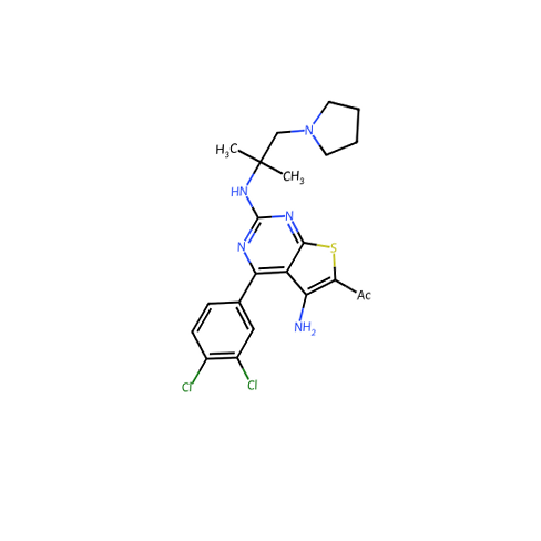 CC(=O)c1sc2nc(NC(C)(C)CN3CCCC3)nc(-c3ccc(Cl)c(Cl)c3)c2c1N